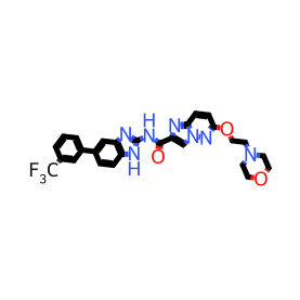 O=C(Nc1nc2cc(-c3cccc(C(F)(F)F)c3)ccc2[nH]1)c1cn2nc(OCCN3CCOCC3)ccc2n1